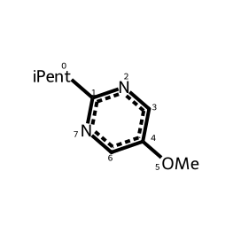 CCCC(C)c1ncc(OC)cn1